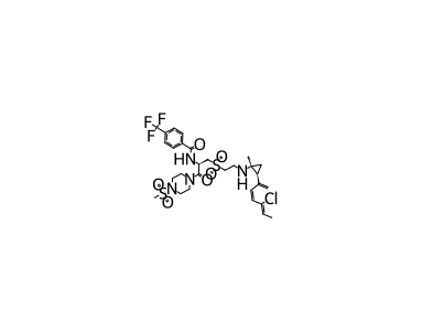 C=C(/C=C\C(Cl)=C\C)[C@@H]1C[C@@]1(C)NCCS(=O)(=O)C[C@H](NC(=O)c1ccc(C(F)(F)F)cc1)C(=O)N1CCN(S(C)(=O)=O)CC1